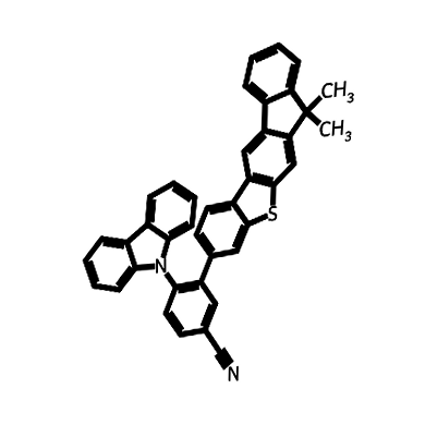 CC1(C)c2ccccc2-c2cc3c(cc21)sc1cc(-c2cc(C#N)ccc2-n2c4ccccc4c4ccccc42)ccc13